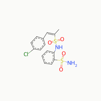 CC(=Cc1ccc(Cl)cc1)S(=O)(=O)Nc1ccccc1S(N)(=O)=O